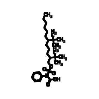 CCCCCCC(CCCC(COS(=O)(=O)N(C(=O)O)c1ccccc1)C(C)(C)C)C(C)(C)C